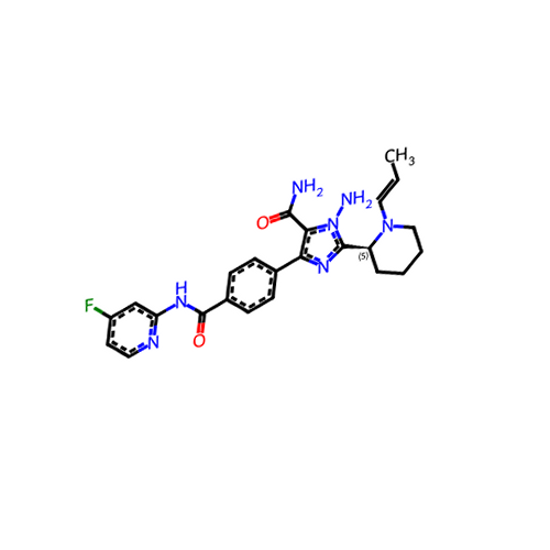 CC=CN1CCCC[C@H]1c1nc(-c2ccc(C(=O)Nc3cc(F)ccn3)cc2)c(C(N)=O)n1N